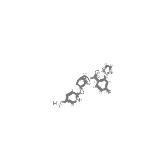 Cc1ccc(OC2CC3CC2N(C(=O)c2ccc(F)cc2-n2nccn2)C3)nc1